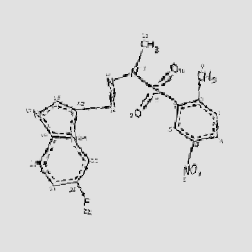 Cc1ccc([N+](=O)[O-])cc1S(=O)(=O)N(C)/N=C/c1cnc2ccc(F)cn12